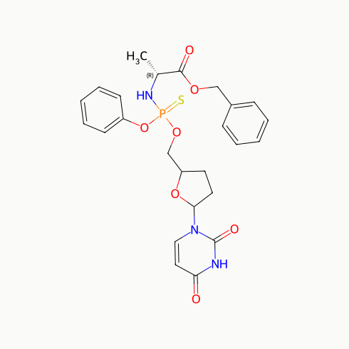 C[C@@H](NP(=S)(OCC1CCC(n2ccc(=O)[nH]c2=O)O1)Oc1ccccc1)C(=O)OCc1ccccc1